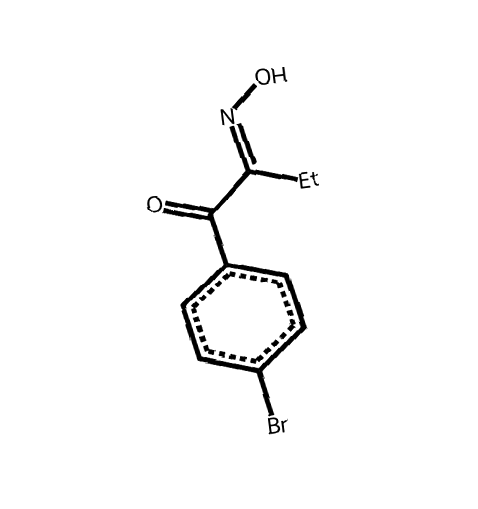 CC/C(=N\O)C(=O)c1ccc(Br)cc1